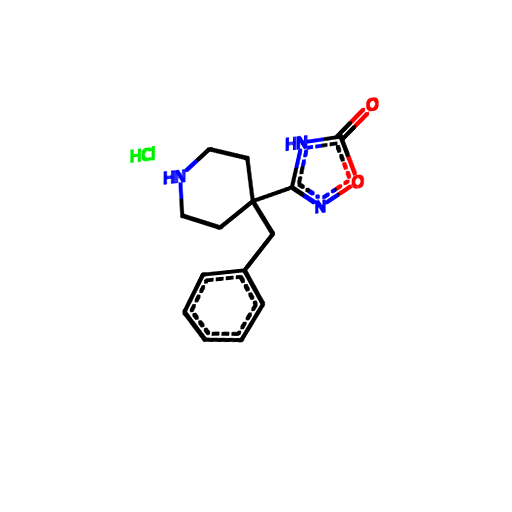 Cl.O=c1[nH]c(C2(Cc3ccccc3)CCNCC2)no1